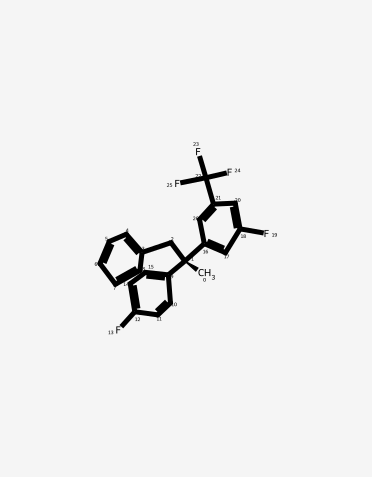 C[C@](Cc1ccccc1)(c1ccc(F)cc1)c1cc(F)cc(C(F)(F)F)c1